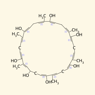 CC1=C/C/C=C(O)\C(C)=C/C/C=C(O)\C(C)=C/C(O)C/C=C(O)\C(C)=C/C/C=C(O)\C(C)=C/C/C=C(O)\C(C)=C/C/C=C\1O